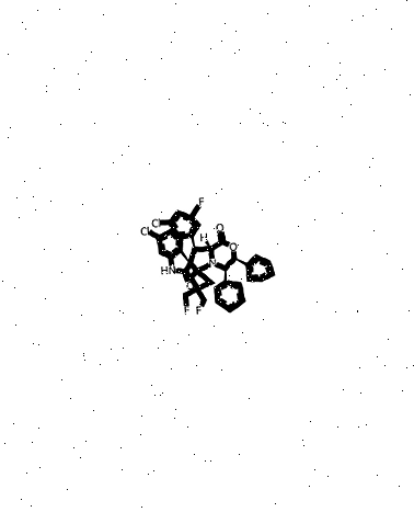 O=C1O[C@@H](c2ccccc2)[C@@H](c2ccccc2)N2[C@@H]1[C@H](c1cc(F)cc(Cl)c1)[C@@]1(C(=O)Nc3cc(Cl)ccc31)C21CC(CF)(CF)C1